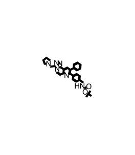 CC(C)(C)OC(=O)NCc1ccc(-c2nc3ccn4c(CN5CCCC5)nnc4c3cc2-c2ccccc2)cc1